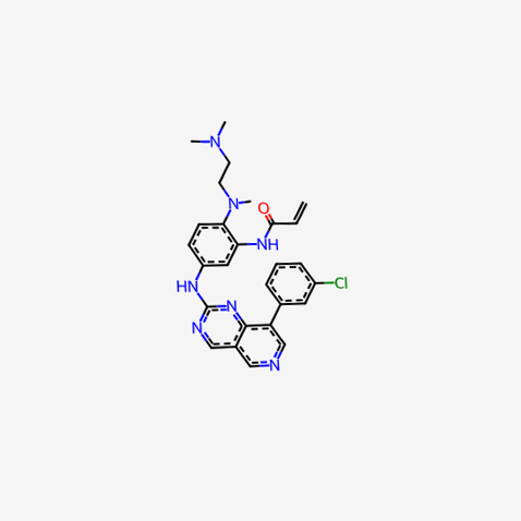 C=CC(=O)Nc1cc(Nc2ncc3cncc(-c4cccc(Cl)c4)c3n2)ccc1N(C)CCN(C)C